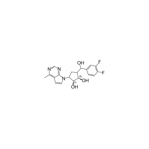 Cc1ncnc2c1ccn2C1CC(C(O)c2ccc(F)c(F)c2)[C@@H](O)[C@H]1O